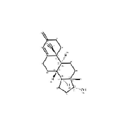 C#C[C@]12CCC(=C)C=C1CC[C@H]1[C@@H]3CC[C@@H](O)[C@@]3(C)CC[C@@H]12